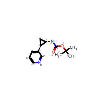 CC(C)(C)OC(=O)N[C@H]1C[C@@H]1c1cccnc1